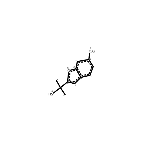 CC(C)(C)c1ccc2cc(C(C)(C)S)oc2c1